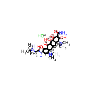 CN(C)c1cc(NC(=O)CNC(C)(C)C)c(O)c2c1C[C@H]1C[C@@H]3[C@H](N(C)C)C(O)=C(C(N)=O)C(=O)[C@@]3(O)C(O)=C1C2=O.Cl